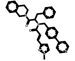 Cn1ccc(C=CC(=O)N(Cc2ccc(-c3ccncc3)cc2)C(Cc2ccccc2)C(=O)N2CCc3ccccc3C2)n1